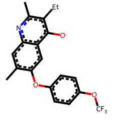 CCc1c(C)nc2cc(C)c(Oc3ccc(OC(F)(F)F)cc3)cc2c1[O]